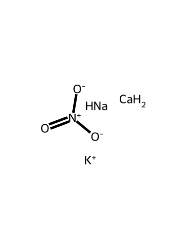 O=[N+]([O-])[O-].[CaH2].[K+].[NaH]